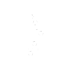 CC(C)(c1ccccc1)c1ccc(OCc2cccc(C(=O)Oc3ccc(/[C]=N/O)cc3)c2)cc1